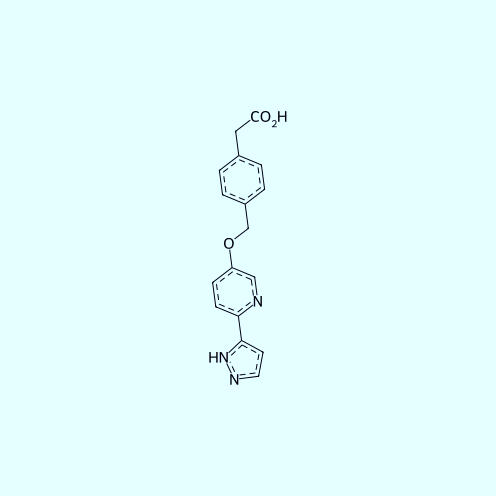 O=C(O)Cc1ccc(COc2ccc(-c3ccn[nH]3)nc2)cc1